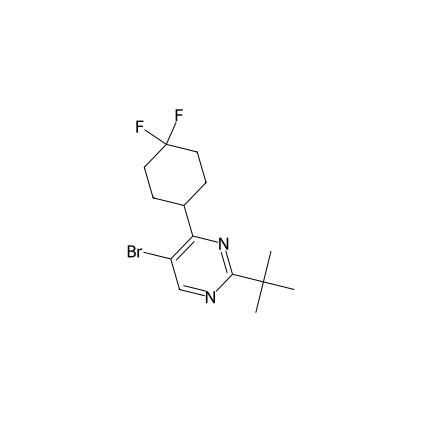 CC(C)(C)c1ncc(Br)c(C2CCC(F)(F)CC2)n1